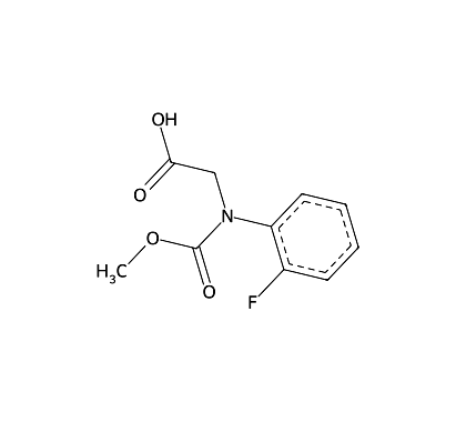 COC(=O)N(CC(=O)O)c1ccccc1F